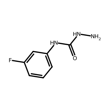 NNC(=O)Nc1cccc(F)c1